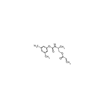 C=CC(=O)OCC(C)NC(=O)Oc1cc(C)cc(C)c1